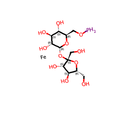 OC[C@H]1O[C@@](CO)(O[C@H]2O[C@H](COP)[C@@H](O)[C@H](O)[C@H]2O)[C@@H](O)[C@@H]1O.[Fe]